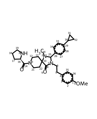 COc1ccc(CCN2C(=O)C3(CCN(C(=O)[C@H]4CCCN4)CC3)N(C)C2c2ccc(C3CC3)cc2)cc1